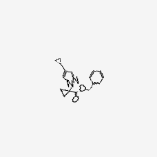 O=C(OCc1ccccc1)C1(n2cc(C3CC3)cn2)CC1